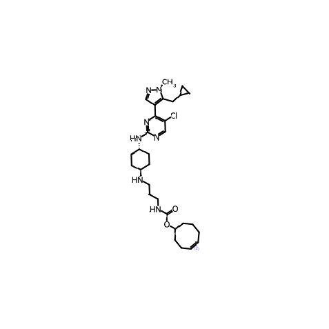 Cn1ncc(-c2nc(N[C@H]3CC[C@H](NCCCNC(=O)OC4CC/C=C\CCC4)CC3)ncc2Cl)c1CC1CC1